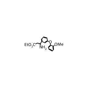 CCOC(=O)C[C@H](N)c1cccc(Oc2ccccc2OC)c1